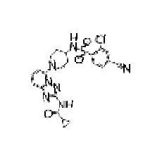 N#Cc1ccc(S(=O)(=O)NC2CCN(c3cccc4nc(NC(=O)C5CC5)nn34)CC2)c(Cl)c1